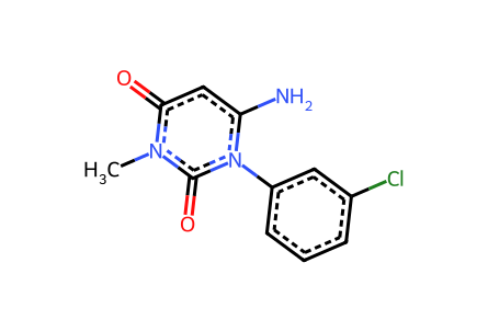 Cn1c(=O)cc(N)n(-c2cccc(Cl)c2)c1=O